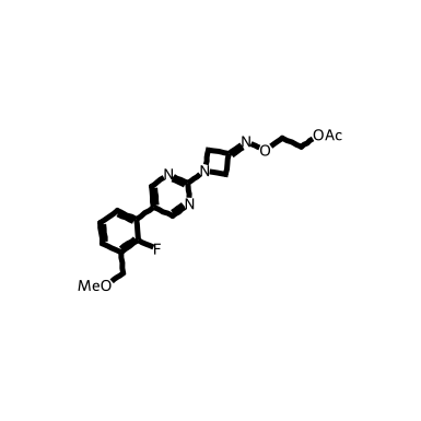 COCc1cccc(-c2cnc(N3CC(=NOCCOC(C)=O)C3)nc2)c1F